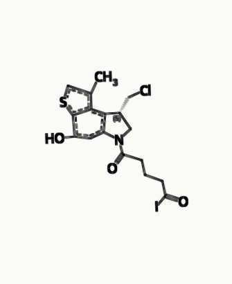 Cc1csc2c(O)cc3c(c12)[C@H](CCl)CN3C(=O)CCCC(=O)I